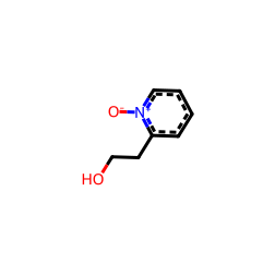 [O-][n+]1ccccc1CCO